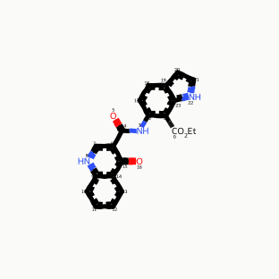 CCOC(=O)c1c(NC(=O)c2c[nH]c3ccccc3c2=O)ccc2cc[nH]c12